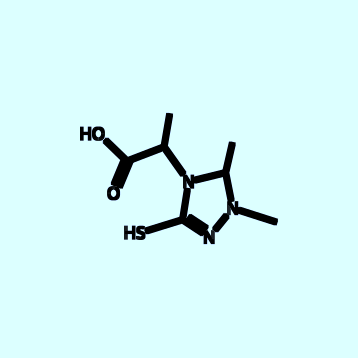 CC(C(=O)O)N1C(S)=NN(C)C1C